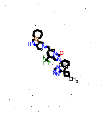 Cn1cnnc1[C@]1(c2cccc(-n3cc4c(C(F)(F)F)cc(CN5CCC6NCS7(CCCCCC7)C6C5)cn4c3=O)c2)C[C@@H](C)C1